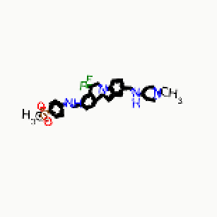 CN1CCC(NCc2ccc3c(c2)cc2n3CC(F)(F)c3cc(CNc4ccc(S(C)(=O)=O)cc4)ccc3-2)CC1